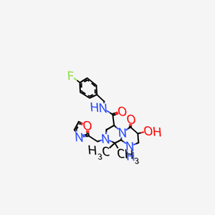 CC1(C)C2NCC(O)C(=O)N2C(C(=O)NCc2ccc(F)cc2)CN1Cc1ncco1